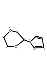 c1ccn(C2COCCO2)c1